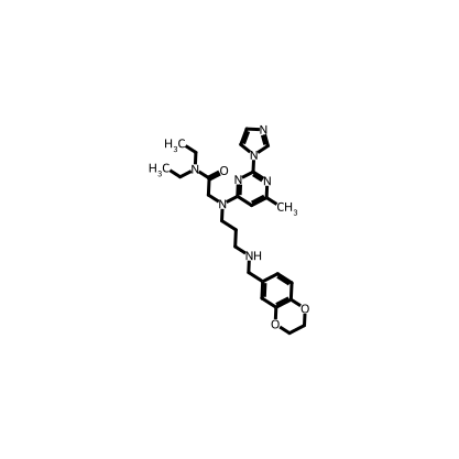 CCN(CC)C(=O)CN(CCCNCc1ccc2c(c1)OCCO2)c1cc(C)nc(-n2ccnc2)n1